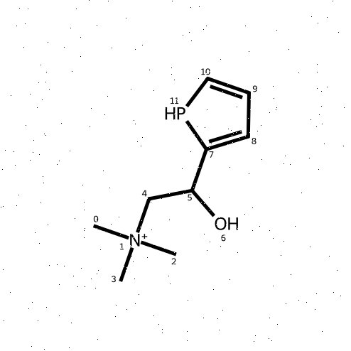 C[N+](C)(C)CC(O)c1ccc[pH]1